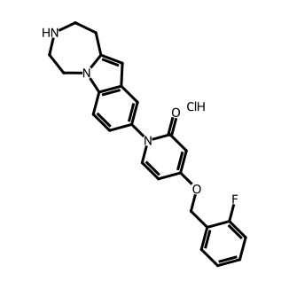 Cl.O=c1cc(OCc2ccccc2F)ccn1-c1ccc2c(c1)cc1n2CCNCC1